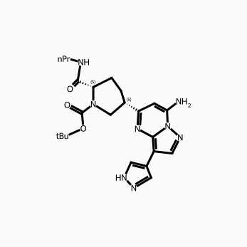 CCCNC(=O)[C@@H]1CC[C@H](c2cc(N)n3ncc(-c4cn[nH]c4)c3n2)CN1C(=O)OC(C)(C)C